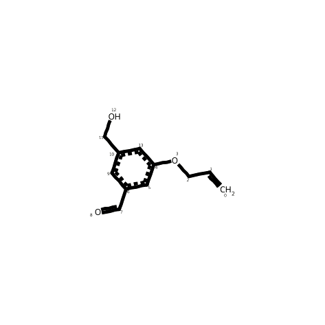 C=CCOc1cc(C=O)cc(CO)c1